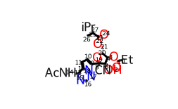 CCC(=O)O[C@H]1[C@@H](O)[C@](C#N)(c2ccc3c(NC(C)=O)ncnn23)O[C@@H]1COC(=O)[C@@H](C)C(C)C